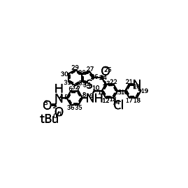 CC(C)(C)OC(=O)Nc1ccc(NCc2cc(Cl)c(-c3cccnc3)cc2C(=O)c2cc3ccccc3s2)cc1